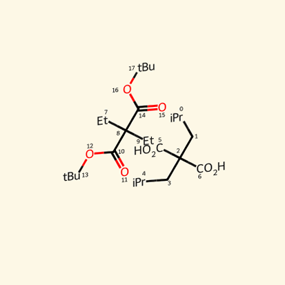 CC(C)CC(CC(C)C)(C(=O)O)C(=O)O.CCC(CC)(C(=O)OC(C)(C)C)C(=O)OC(C)(C)C